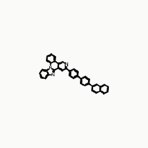 c1ccc2cc(-c3ccc(-c4ccc(-c5cc6c(cn5)c5ccccc5n5c7ccccc7nc65)cc4)cc3)ccc2c1